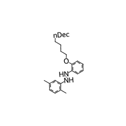 CCCCCCCCCCCCCCOc1ccccc1NNc1cc(C)ccc1C